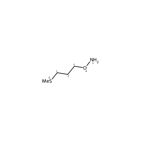 CSCCCON